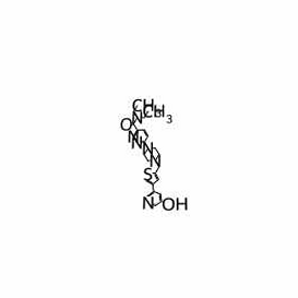 CCN(CC)C(=O)c1ccc(N2CCN(Cc3cc(-c4cncc(O)c4)cs3)CC2)nn1